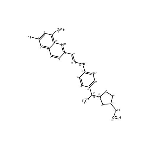 COc1cc(F)cc2ccc(C=NNc3ccc([C@@H](N4CCC(NC(=O)O)C4)C(F)(F)F)cn3)nc12